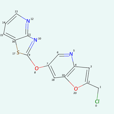 ClCc1cc2ncc(Oc3nc4ncccc4s3)cc2o1